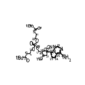 CC(C)(C)C(=O)SCCOP(=O)(OCCSC(=O)C(C)(C)C)OC[C@H]1O[C@@](C#N)(c2ccc3c(N)ncnn23)C[C@@H]1O